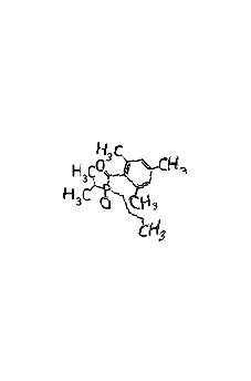 CCCCP(=O)(C(=O)c1c(C)cc(C)cc1C)C(C)C